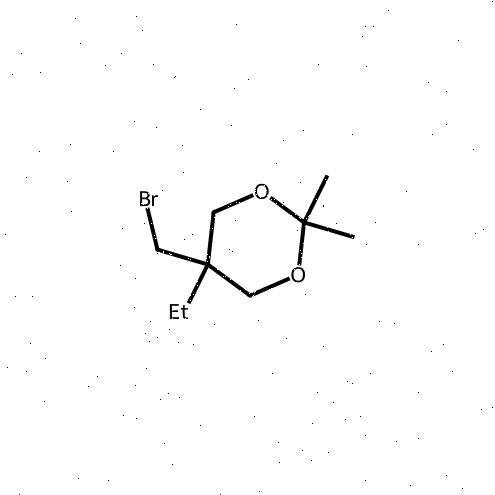 CCC1(CBr)COC(C)(C)OC1